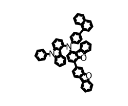 c1ccc(-n2c3ccccc3c3c(N(c4ccc(-c5cccc6ccccc56)cc4)c4ccc(-c5ccc6c(c5)oc5ccccc56)c5oc6ccccc6c45)cccc32)cc1